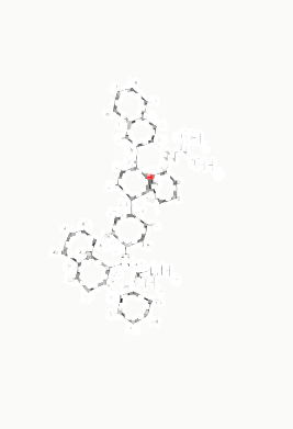 CC(C)N(c1ccccc1)c1cc2ccccc2cc1-c1ccc(-c2ccc(N(c3c(-c4ccccc4)ccc4ccccc34)C(C)C)cc2)cc1